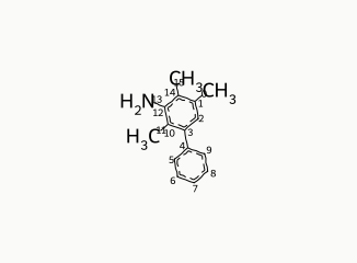 Cc1cc(-c2ccccc2)c(C)c(N)c1C